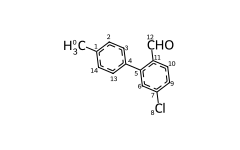 Cc1ccc(-c2cc(Cl)ccc2C=O)cc1